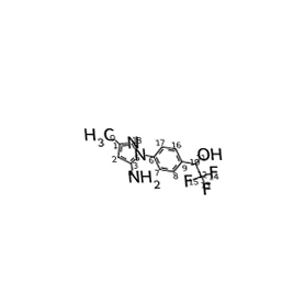 Cc1cc(N)n(-c2ccc(C(O)C(F)(F)F)cc2)n1